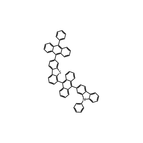 c1ccc(-c2c3ccccc3c(-c3ccc4c(c3)sc3c(-c5c6ccccc6c(-c6ccc7c8ccccc8n(-c8ccccc8)c7c6)c6ccccc56)cccc34)c3ccccc23)cc1